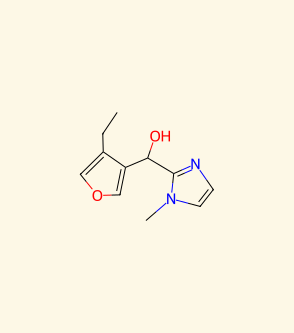 CCc1cocc1C(O)c1nccn1C